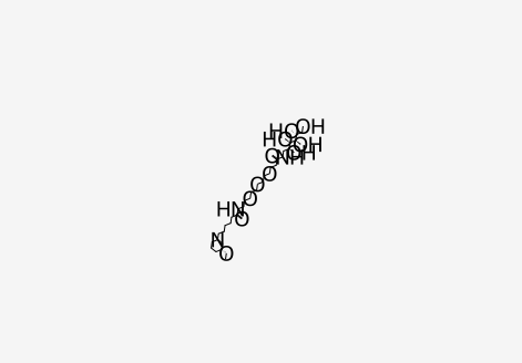 CO[C@@H]1CCCN(CCCCCC(=O)NCCOCCOCCOCCC(=O)NC[C@H](O)[C@@H](O)[C@H](O)[C@H](O)CO)C1